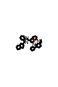 c1ccc(-n2ccc3ccc4c5ccccc5n(-c5cccc(-c6nc(-c7ccc8ccccc8c7)c7ccccc7n6)c5)c4c32)cc1